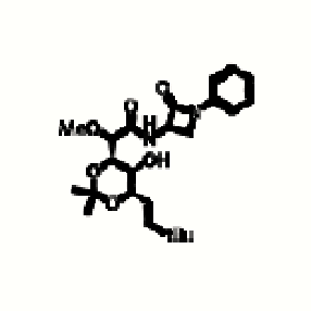 COC(C(=O)NC1CN(c2ccccc2)C1=O)[C@@H]1OC(C)(C)O[C@H](C=CC(C)(C)C)[C@@H]1O